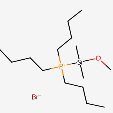 CCCC[P+](CCCC)(CCCC)[Si](C)(C)OC.[Br-]